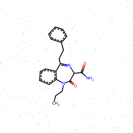 CCCN1C(=O)C(C(N)=O)N=C(CCc2ccccc2)c2ccccc21